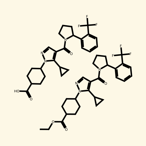 CCOC(=O)C1CCC(n2ncc(C(=O)N3CCCC3c3ccccc3C(F)(F)F)c2C2CC2)CC1.O=C(O)C1CCC(n2ncc(C(=O)N3CCCC3c3ccccc3C(F)(F)F)c2C2CC2)CC1